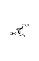 C[C@H](C=O)NCC(=O)O